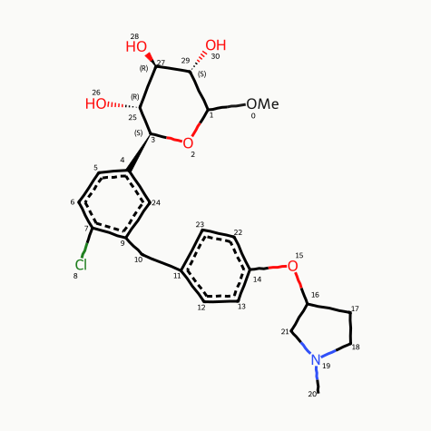 COC1O[C@@H](c2ccc(Cl)c(Cc3ccc(OC4CCN(C)C4)cc3)c2)[C@H](O)[C@@H](O)[C@@H]1O